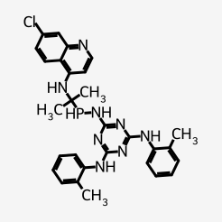 Cc1ccccc1Nc1nc(NPC(C)(C)Nc2ccnc3cc(Cl)ccc23)nc(Nc2ccccc2C)n1